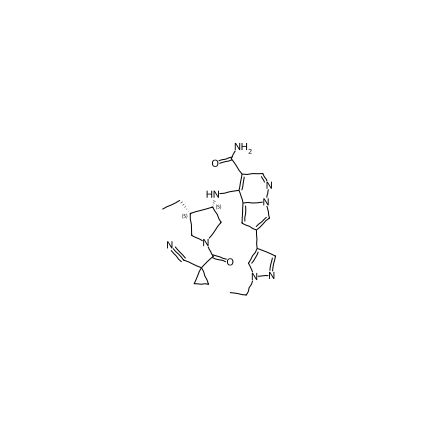 CC[C@H]1CN(C(=O)C2(C#N)CC2)C[C@H]1Nc1c(C(N)=O)cnn2cc(-c3cnn(CC)c3)cc12